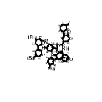 CC1C=CCC2C3=CC(C4NC(c5ccccc5)NC(c5cc(C#N)c(N6C7=C(C=C(C(C)(C)C)CC7)C7CC(C(C)(C)C)C=CC76)cc5-n5c6c(c7cc(C(C)(C)C)ccc75)C=C(C(C)(C)C)CC6)N4)=CCC3OC12